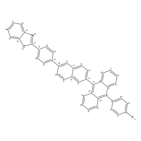 Fc1ccc(-c2c3ccccc3c(-c3ccc4cc(-c5ccc(-c6nc7ccccc7o6)cc5)ccc4c3)c3ccccc23)cc1